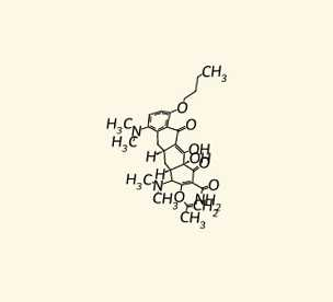 C=C(C)OC1=C(C(N)=O)C(=O)[C@@]2(O)C(O)=C3C(=O)c4c(OCCCC)ccc(N(C)C)c4C[C@H]3C[C@H]2C1N(C)C